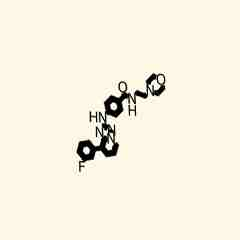 O=C(NCCN1CCOCC1)c1ccc(Nc2nc3c(-c4cccc(F)c4)cccn3n2)cc1